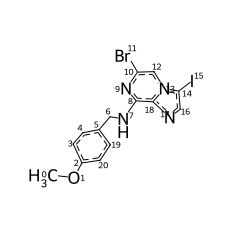 COc1ccc(CNc2nc(Br)cn3c(I)cnc23)cc1